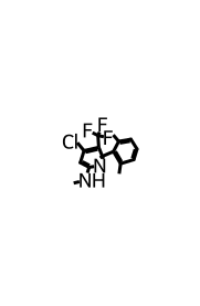 CNc1cc(Cl)c(C(F)(F)F)c(-c2c(C)cccc2C)n1